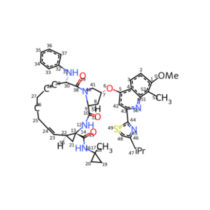 COc1ccc2c(O[C@@H]3C[C@H]4C(=O)N[C@]5(C(=O)NC6(C)CC6)C[C@H]5/C=C\CCCCC[C@H](Nc5ccccc5)C(=O)N4C3)cc(-c3nc(C(C)C)cs3)nc2c1C